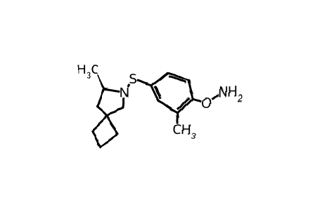 Cc1cc(SN2CC3(CCC3)CC2C)ccc1ON